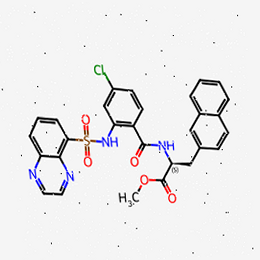 COC(=O)[C@H](Cc1ccc2ccccc2c1)NC(=O)c1ccc(Cl)cc1NS(=O)(=O)c1cccc2nccnc12